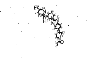 C=CC(=O)N1CCN(c2ccc3c(c2)nc(N2CCC[C@@H](Nc4ncc(CC)cn4)C2)n3C)CC1